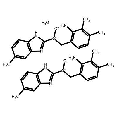 Cc1ccc2[nH]c([S+]([O-])Cc3ccc(C)c(C)c3N)nc2c1.Cc1ccc2[nH]c([S+]([O-])Cc3ccc(C)c(C)c3N)nc2c1.O